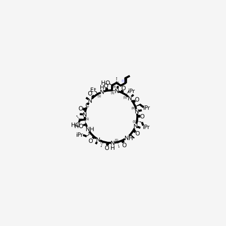 C/C=C/C[C@@H](C)[C@@H](O)[C@H]1C(=O)N[C@@H](CC)C(=O)N(C)CC(=O)N(C)[C@@H]([C@@H](C)O)C(O)N[C@@H](CC(C)C)C(=O)N(C)[C@@H](C)C(=O)N[C@@H](C)C(=O)N[C@H](C)C(=O)N(C)[C@@H](CC(C)C)C(=O)N(C)[C@H](CC(C)C)C(=O)N(C)[C@@H](C(C)C)C(=O)N1C